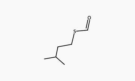 CC(C)CCSC=O